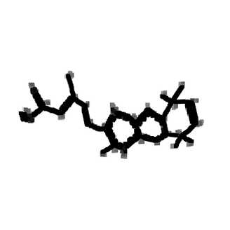 CC(C=Cc1nc2cc3c(cc2nc1C)C(C)(C)C=CC3(C)C)=CC(=O)O